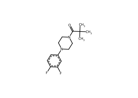 CC(C)(C)C(=O)N1CCN(c2ccc(F)c(F)c2)CC1